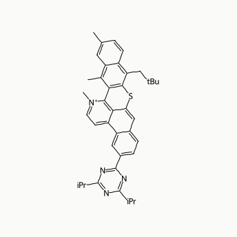 Cc1ccc2c(CC(C)(C)C)c3c(c(C)c2c1)-c1c2c(cc4ccc(-c5nc(C(C)C)nc(C(C)C)n5)cc4c2cc[n+]1C)S3